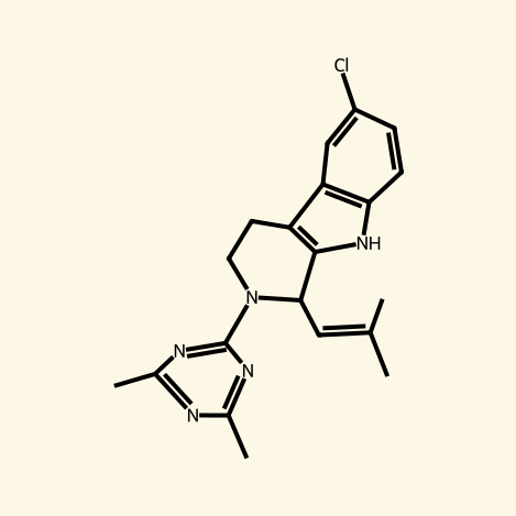 CC(C)=CC1c2[nH]c3ccc(Cl)cc3c2CCN1c1nc(C)nc(C)n1